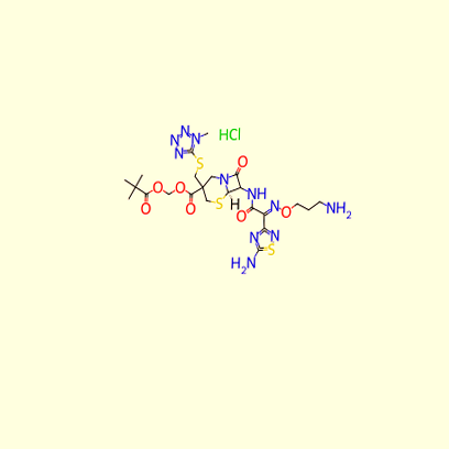 Cl.Cn1nnnc1SCC1(C(=O)OCOC(=O)C(C)(C)C)CS[C@@H]2C(NC(=O)C(=NOCCCN)c3nsc(N)n3)C(=O)N2C1